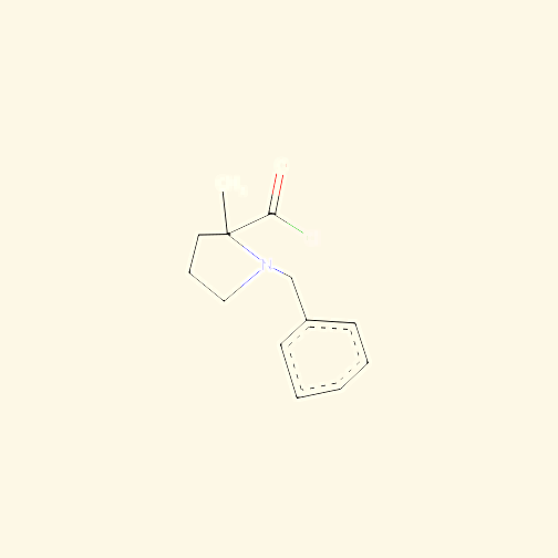 CC1(C(=O)Cl)CCCN1Cc1ccccc1